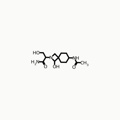 CC(=O)NC1CCC2(CC1)CN(C(CO)C(N)=O)C2O